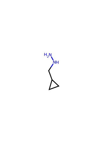 NNCC1CC1